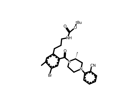 Cc1cc(CCCNC(=O)OC(C)(C)C)c(C(=O)N2CCN(c3ccccc3C#N)C[C@H]2C)cc1Br